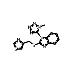 Cn1nnnc1-n1c(SCc2cscn2)nc2ccccc21